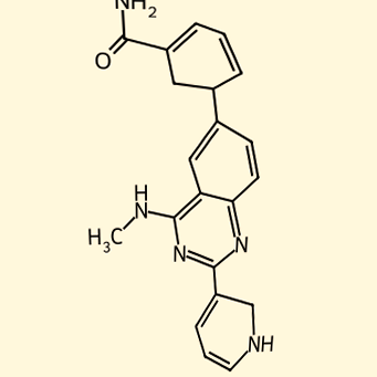 CNc1nc(C2=CC=CNC2)nc2ccc(C3C=CC=C(C(N)=O)C3)cc12